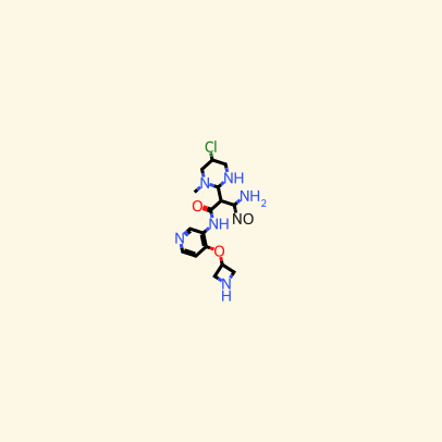 CN1CC(Cl)CNC1C(C(=O)Nc1cnccc1OC1CNC1)C(N)N=O